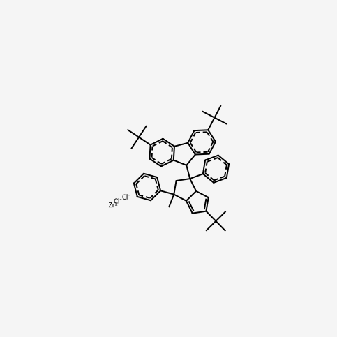 CC(C)(C)C1=CC2C(=C1)C(C)(c1ccccc1)CC2(c1ccccc1)C1c2ccc(C(C)(C)C)cc2-c2cc(C(C)(C)C)ccc21.[Cl-].[Cl-].[Zr+2]